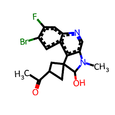 CC(=O)C1CC2(C1)c1c(cnc3cc(F)c(Br)cc13)N(C)C2O